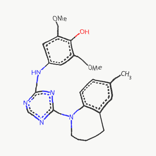 COc1cc(Nc2ncnc(N3CCCc4cc(C)ccc43)n2)cc(OC)c1O